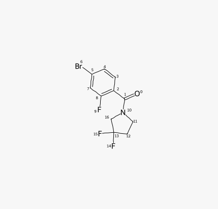 O=C(c1ccc(Br)cc1F)N1CCC(F)(F)C1